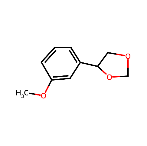 COc1cccc(C2COCO2)c1